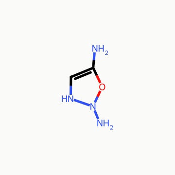 NC1=CNN(N)O1